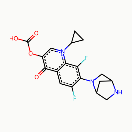 O=C(O)Oc1cn(C2CC2)c2c(F)c(N3CC4CC3CN4)c(F)cc2c1=O